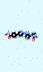 CN(C)C(=O)c1ccc(-c2ccc(Nc3cncc(N4CCN(C)C4=O)c3)nc2)cc1